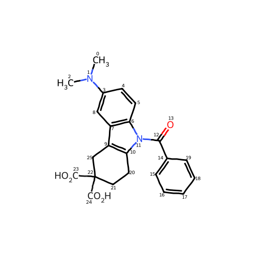 CN(C)c1ccc2c(c1)c1c(n2C(=O)c2ccccc2)CCC(C(=O)O)(C(=O)O)C1